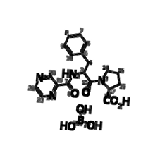 O=C(NC(Cc1ccccc1)C(=O)N1CCC[C@H]1C(=O)O)c1cnccn1.OB(O)O